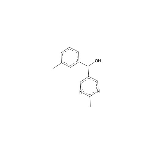 Cc1cccc(C(O)c2cnc(C)nc2)c1